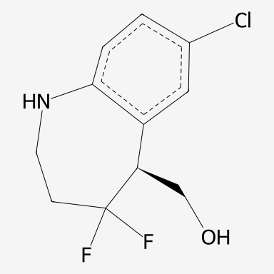 OC[C@@H]1c2cc(Cl)ccc2NCCC1(F)F